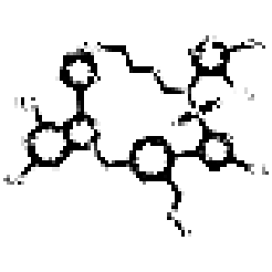 CCOCc1cc(Cn2nc(-c3cccs3)c3c(C)nc(C)cc32)ccc1-c1cc(C)sc1S(=O)(=O)N(COCCOC)c1noc(C)c1C